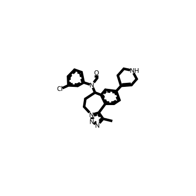 Cc1nnn2c1-c1ccc(C3=CCNCC3)cc1C(N(C=O)c1cccc(Cl)c1)CC2